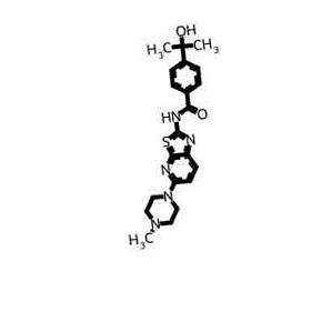 CN1CCN(c2ccc3nc(NC(=O)c4ccc(C(C)(C)O)cc4)sc3n2)CC1